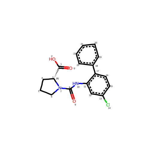 O=C(O)[C@H]1CCCN1C(=O)Nc1cc(Cl)ccc1-c1ccccc1